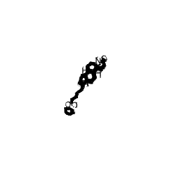 CN1C(=O)CC[C@@]2(C)C1CC[C@@H]1[C@H]2CC[C@]2(C)C(CCCCC(=O)Oc3ccccc3)CC[C@@H]12